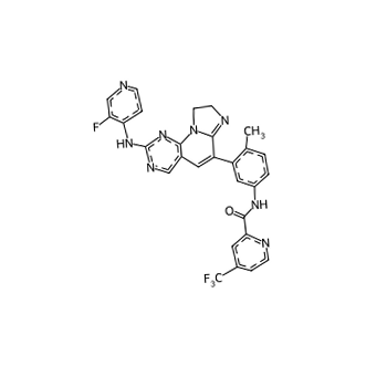 Cc1ccc(NC(=O)c2cc(C(F)(F)F)ccn2)cc1C1=Cc2cnc(Nc3ccncc3F)nc2N2CCN=C12